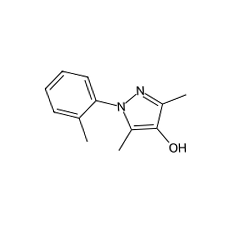 Cc1ccccc1-n1nc(C)c(O)c1C